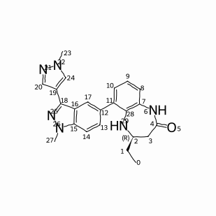 CC[C@@H]1CC(=O)Nc2cccc(-c3ccc4c(c3)c(-c3cnn(C)c3)nn4C)c2N1